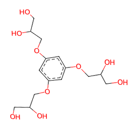 OCC(O)COc1cc(OCC(O)CO)cc(OCC(O)CO)c1